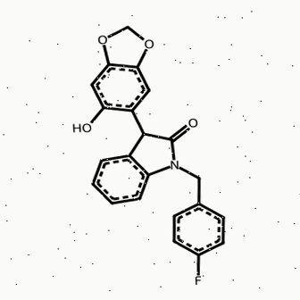 O=C1C(c2cc3c(cc2O)OCO3)c2ccccc2N1Cc1ccc(F)cc1